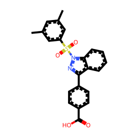 Cc1cc(C)cc(S(=O)(=O)n2nc(-c3ccc(C(=O)O)cc3)c3ccccc32)c1